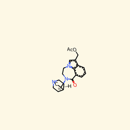 CC(=O)OCc1cn2c3c(cccc13)C(=O)N([C@@H]1CN3CCC1CC3)CC2